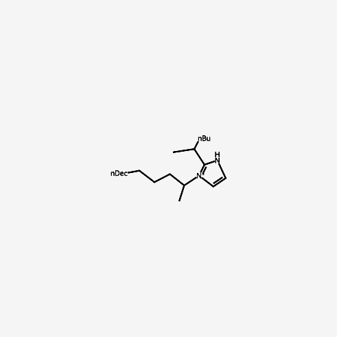 CCCCCCCCCCCCCC(C)[n+]1cc[nH]c1C(C)CCCC